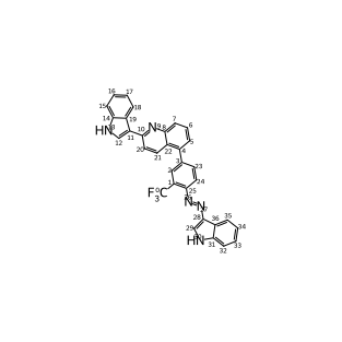 FC(F)(F)c1cc(-c2cccc3nc(-c4c[nH]c5ccccc45)ccc23)ccc1/N=N/c1c[nH]c2ccccc12